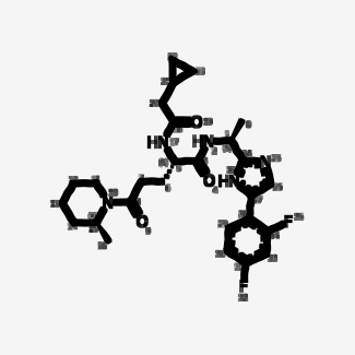 C[C@H](NC(=O)[C@H](CCC(=O)N1CCCC[C@@H]1C)NC(=O)CC1CC1)c1ncc(-c2ccc(F)cc2F)[nH]1